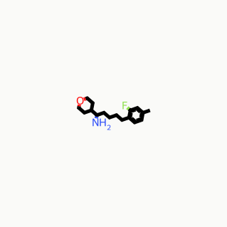 Cc1ccc(CCCCC(N)C2CCOCC2)c(F)c1